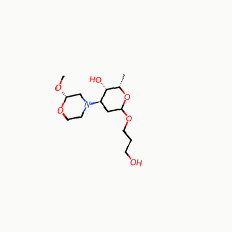 CO[C@@H]1CN([C@@H]2CC(OCCCO)O[C@@H](C)[C@H]2O)CCO1